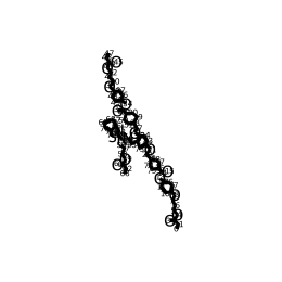 C=CC(=O)OCCCOc1ccc(OC(=O)C2CCC(COc3ccc(OCC4CCC(C(=O)Oc5ccc(OCCCOC(=O)C=C)cc5)CC4)c(/C=N/N(CCCOC(=O)C=C)c4nc5ccccc5s4)c3)CC2)cc1